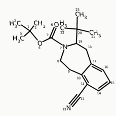 CC(C)(C)OC(=O)N1CCc2c(C#N)cccc2CC1C(C)(C)C